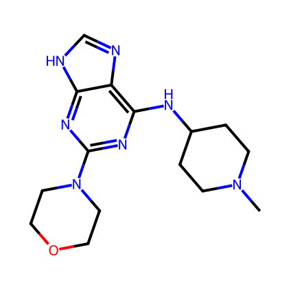 CN1CCC(Nc2nc(N3CCOCC3)nc3[nH]cnc23)CC1